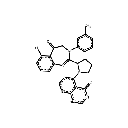 Cc1cccc(N2CC(=O)c3c(Cl)cccc3N=C2C2CCCN2c2ncnc3[nH]cnc(=O)c23)c1